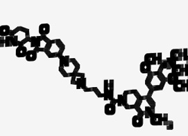 COc1cc(-c2cn(C)c(=O)c3c2CCN(C(=O)NCCCN2CC4(CCN(c5ccc6c(c5)C(=O)N(C5CCC(=O)NC5=O)C6=O)CC4)C2)C3)cc(OC)c1CN(C)C